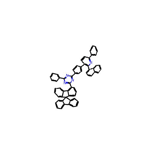 c1ccc(-c2ccc(-c3ccc(-c4nc(-c5ccccc5)nc(-c5cccc6c5-c5ccccc5C65c6ccccc6-c6ccccc65)n4)cc3)c(-c3cccc4ccccc34)n2)cc1